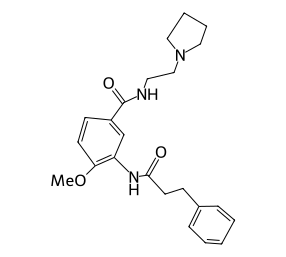 COc1ccc(C(=O)NCCN2CCCC2)cc1NC(=O)CCc1ccccc1